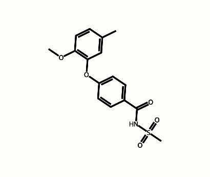 COc1ccc(C)cc1Oc1ccc(C(=O)NS(C)(=O)=O)cc1